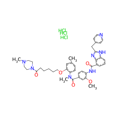 COc1cc(C(=O)N(C)c2ccc(C)cc2OCCCCCC(=O)N2CCN(C)CC2)ccc1NC(=O)c1cccc2[nH]c(Cc3ccncc3)nc12.Cl.Cl.Cl